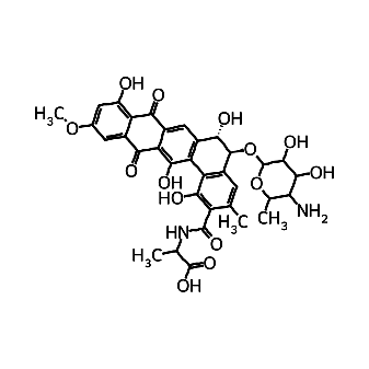 COc1cc(O)c2c(c1)C(=O)c1c(cc3c(c1O)-c1c(cc(C)c(C(=O)NC(C)C(=O)O)c1O)[C@H](OC1OC(C)C(N)C(O)C1O)[C@H]3O)C2=O